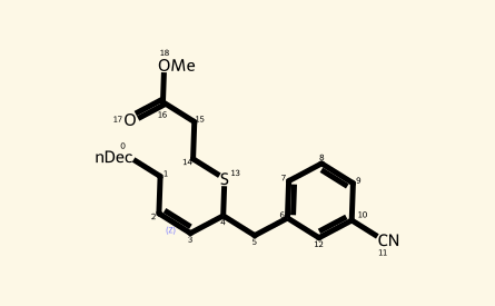 CCCCCCCCCCC/C=C\C(Cc1cccc(C#N)c1)SCCC(=O)OC